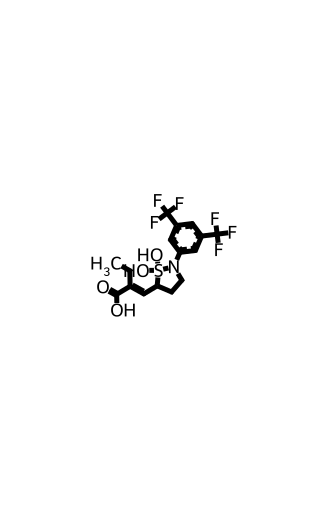 CCC(=CC1CCN(c2cc(C(F)(F)F)cc(C(F)(F)F)c2)S1(O)O)C(=O)O